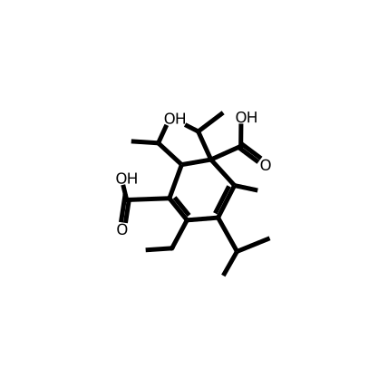 CCC1=C(C(=O)O)C(C(C)O)C(C(=O)O)(C(C)C)C(C)=C1C(C)C